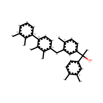 Cc1ccc(C(C)(O)c2ccc(C)c(Cc3ccc(-c4cccc(C)c4C)c(C)c3C)c2)cc1C